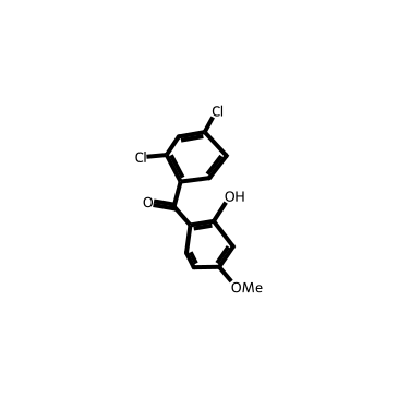 COc1ccc(C(=O)c2ccc(Cl)cc2Cl)c(O)c1